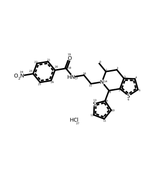 CC1Cc2ccsc2C(c2cccs2)N1CCNC(=O)c1ccc([N+](=O)[O-])cc1.Cl